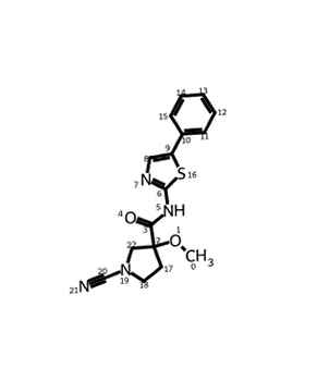 COC1(C(=O)Nc2ncc(-c3ccccc3)s2)CCN(C#N)C1